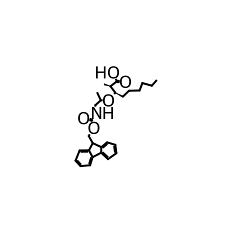 CCCCCC[C@@H](OC(C)CNC(=O)OCC1c2ccccc2-c2ccccc21)[C@@H](C)C(=O)O